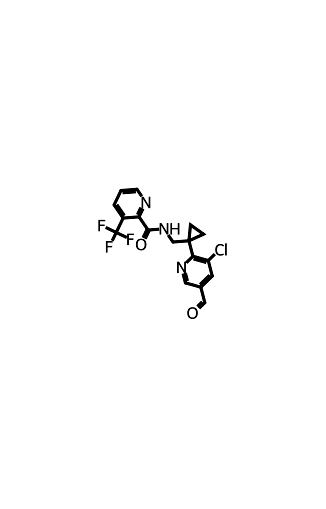 O=Cc1cnc(C2(CNC(=O)c3ncccc3C(F)(F)F)CC2)c(Cl)c1